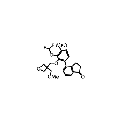 COCC1(COc2c(-c3cccc4c3CCC4=O)ccc(OC)c2OC(F)F)COC1